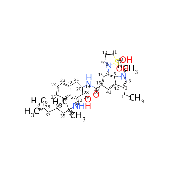 CCc1cn(C)c2c(N3CCCS3(O)O)cc(C(=O)N[C@@H](Cc3ccccc3)[C@H](O)CNC(C)(C)CCCC(C)C)cc12